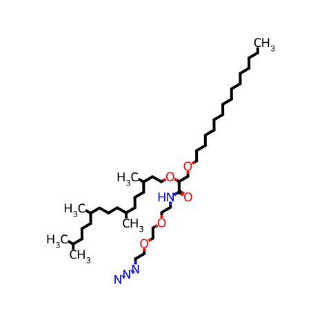 CCCCCCCCCCCCCCCCOCC(OCCC(C)CCCC(C)CCCC(C)CCCC(C)C)C(=O)NCCOCCOCCN=[N+]=[N-]